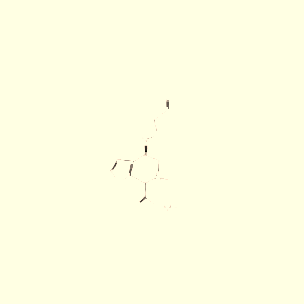 C=CCON=C1CN(C(=O)O)C(C(=O)OC)c2sccc21